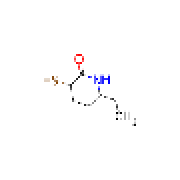 CCC1CCC(S)C(=O)N1